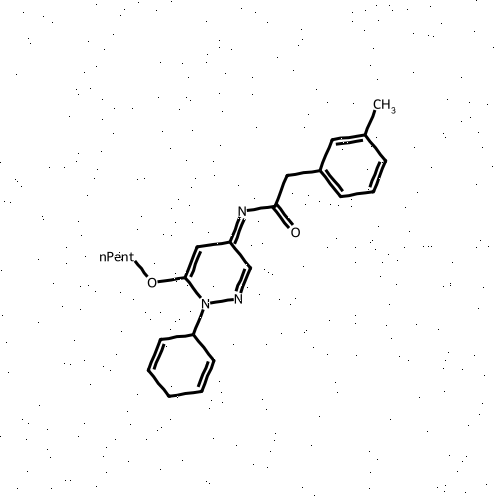 CCCCCOc1cc(=NC(=O)Cc2cccc(C)c2)cnn1C1C=CCC=C1